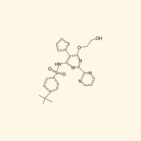 CC(C)(C)c1ccc(S(=O)(=O)Nc2nc(-c3ncccn3)nc(OCCO)c2-c2cccs2)cc1